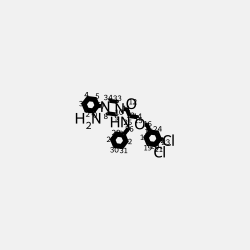 Nc1ccccc1N1CCN(C(=O)C(COCc2ccc(Cl)c(Cl)c2)NCc2ccccc2)CC1